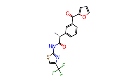 C[C@@H](C(=O)Nc1nc(C(F)(F)F)cs1)c1cccc(C(=O)c2ccco2)c1